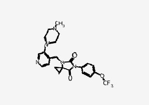 CN1CCN(c2cnccc2CN2C(=O)N(c3ccc(OC(F)(F)F)cc3)C(=O)C23CC3)CC1